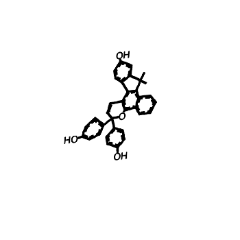 CC1(C)c2cc(O)ccc2-c2c3c(c4ccccc4c21)OC(c1ccc(O)cc1)(c1ccc(O)cc1)C=C3